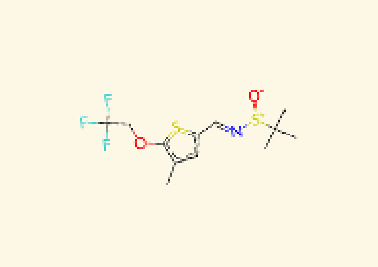 Cc1cc(C=N[S@@+]([O-])C(C)(C)C)sc1OCC(F)(F)F